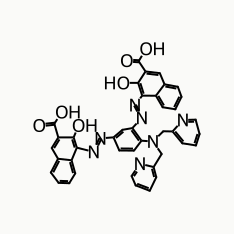 O=C(O)c1cc2ccccc2c(/N=N/c2ccc(N(Cc3ccccn3)Cc3ccccn3)c(/N=N/c3c(O)c(C(=O)O)cc4ccccc34)c2)c1O